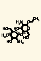 CCOC1OC(CO)[C@@H](O[C@@H]2OC(CO)[C@H](C)C(O)C2N)C(O)C1N